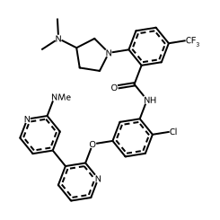 CNc1cc(-c2cccnc2Oc2ccc(Cl)c(NC(=O)c3cc(C(F)(F)F)ccc3N3CCC(N(C)C)C3)c2)ccn1